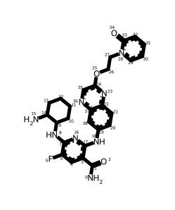 NC(=O)c1cc(F)c(NC2CCCCC2N)nc1Nc1ccc2nc(OCCn3ccccc3=O)cnc2c1